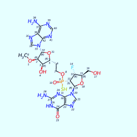 CO[C@@H]1[C@H](O)[C@@H](CCOP(=O)(S)[C@@H]2[C@H](F)[C@@H](CO)O[C@H]2n2cnc3c(=O)[nH]c(N)nc32)O[C@H]1n1cnc2c(N)ncnc21